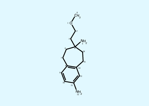 COCCC1(N)CCc2ccc(N)cc2CC1